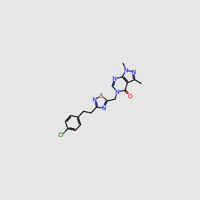 Cc1nn(C)c2ncn(Cc3nc(CCc4ccc(Cl)cc4)ns3)c(=O)c12